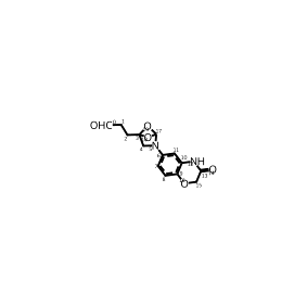 O=CCCC12CN(c3ccc4c(c3)NC(=O)CO4)C(O1)O2